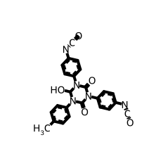 Cc1ccc(N2C(=O)N(c3ccc(N=C=O)cc3)C(=O)N(c3ccc(N=C=O)cc3)C2O)cc1